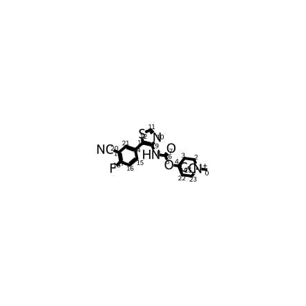 C[N+]12CCC(OC(=O)Nc3ncsc3-c3ccc(F)c(C#N)c3)(CC1)CC2